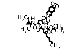 C=CCCCCC[C@H](NC(=O)OC(C)(C)C)C(=O)N1C[C@H](OC(=O)N2Cc3cc4c(cc3C2)OCO4)C[C@H]1C(=O)N[C@]1(CC)C[C@H]1C=C